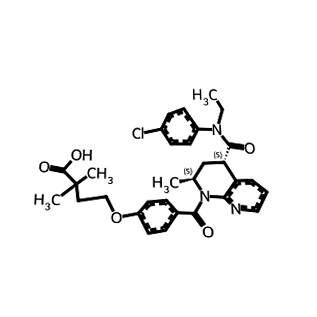 CCN(C(=O)[C@H]1C[C@H](C)N(C(=O)c2ccc(OCCC(C)(C)C(=O)O)cc2)c2ncccc21)c1ccc(Cl)cc1